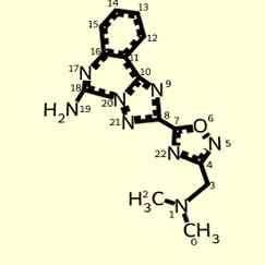 CN(C)Cc1noc(-c2nc3c4ccccc4nc(N)n3n2)n1